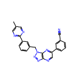 Cc1cnc(-c2cccc(Cn3nnc4ncc(-c5cccc(C#N)c5)nc43)c2)nc1